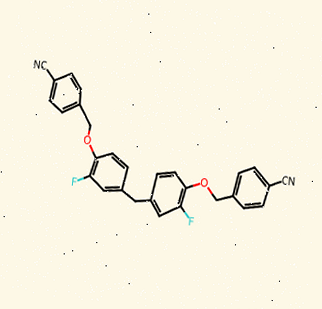 N#Cc1ccc(COc2ccc(Cc3ccc(OCc4ccc(C#N)cc4)c(F)c3)cc2F)cc1